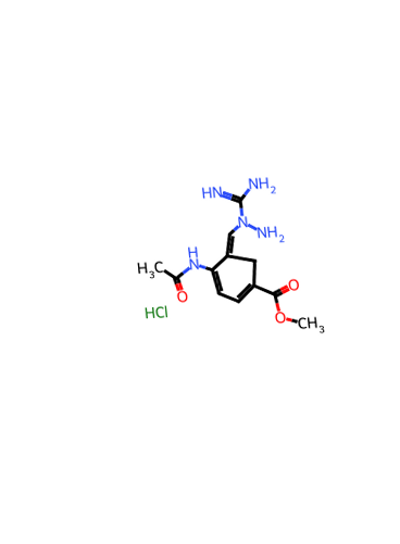 COC(=O)C1=CC=C(NC(C)=O)/C(=C/N(N)C(=N)N)C1.Cl